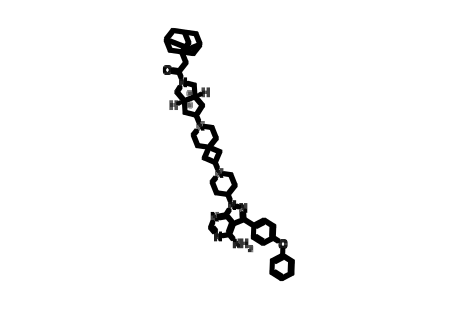 Nc1ncnc2c1c(-c1ccc(Oc3ccccc3)cc1)nn2C1CCN(C2CC3(CCN(C4C[C@@H]5CN(C(=O)CC67CC8CC(CC(C8)C6)C7)C[C@@H]5C4)CC3)C2)CC1